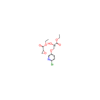 CCOC(=O)C1CO1.CCOC(=O)[C@H](O)COc1ccc(Br)nc1